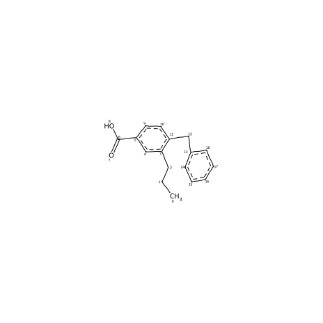 CCCc1cc(C(=O)O)ccc1Cc1ccccc1